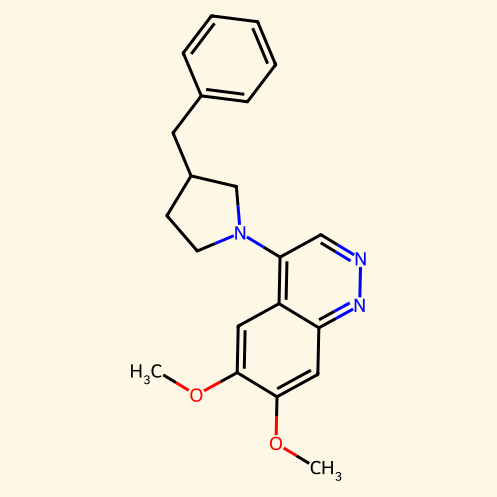 COc1cc2nncc(N3CCC(Cc4ccccc4)C3)c2cc1OC